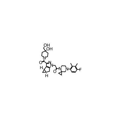 Cc1c(F)ccc(N2CCN(C(=O)Cn3nc(C(=O)N4CCC(O)(CO)CC4)c4c3C[C@H]3C[C@@H]43)C3(CC3)C2)c1C